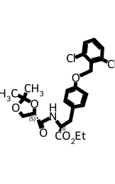 CCOC(=O)[C@H](Cc1ccc(OCc2c(Cl)cccc2Cl)cc1)NC(=O)[C@@H]1COC(C)(C)O1